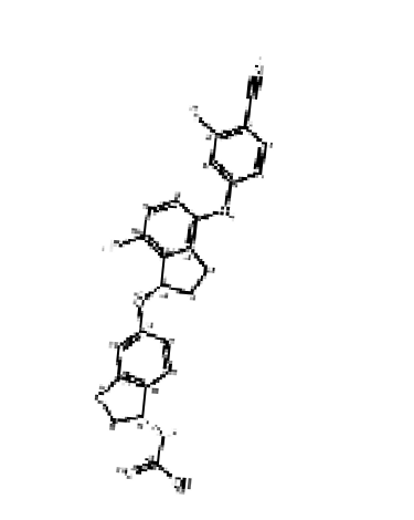 N#Cc1ccc(Oc2ccc(F)c3c2CC[C@H]3Oc2ccc3c(c2)OC[C@H]3CC(=O)O)cc1F